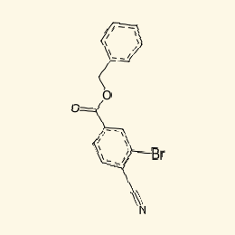 N#Cc1ccc(C(=O)OCc2ccccc2)cc1Br